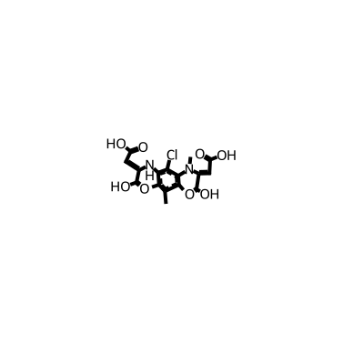 Cc1c(C)c(N/C(=C\C(=O)O)C(=O)O)c(Cl)c(N(C)/C(=C\C(=O)O)C(=O)O)c1C